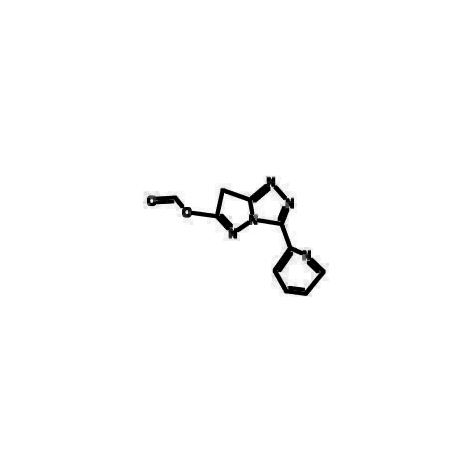 O=COC1=Nn2c(nnc2-c2ccccn2)C1